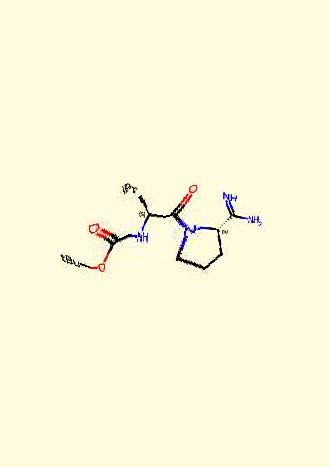 CC(C)[C@H](NC(=O)OC(C)(C)C)C(=O)N1CCC[C@H]1C(=N)N